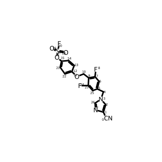 N#Cc1cn(Cc2cc(F)c(COc3ccc(OS(=O)(=O)F)cc3)c(F)c2)cn1